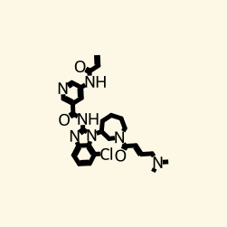 C=CC(=O)Nc1cncc(C(=O)Nc2nc3cccc(Cl)c3n2C2CCCCN(C(=O)/C=C/CN(C)C)C2)c1